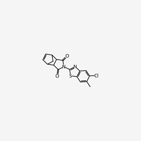 Cc1cc2sc(N3C(=O)C4C5C=CC(C5)C4C3=O)nc2cc1Cl